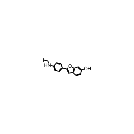 Oc1ccc2cc(-c3ccc(NCI)cc3)oc2c1